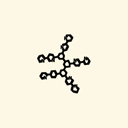 c1ccc(-c2ccc(C3CC(c4ccc(-c5ccccn5)cn4)CC(C4CC(c5ccc(-c6ccccn6)cn5)CC(C5CC(c6ccc(-c7ccccn7)cn6)CC(c6ccc(-c7ccccn7)cn6)C5)C4)C3)cc2)nc1